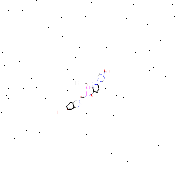 CCOc1nc(N2CCN(C(=O)OC)CC2)ccc1C(=O)NCC(O)[C@@H]1Cc2ccc(O)cc2CN1